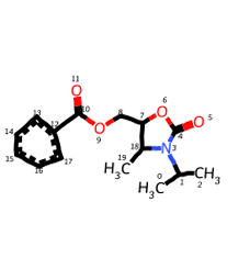 CC(C)N1C(=O)OC(COC(=O)c2ccccc2)C1C